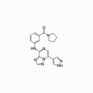 O=C(c1cccc(Nc2ncc(-c3cn[nH]c3)n3ncnc23)c1)N1CCCC1